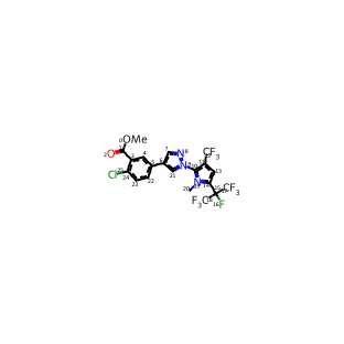 COC(=O)c1cc(-c2cnn(-c3c(C(F)(F)F)cc(C(F)(C(F)(F)F)C(F)(F)F)n3C)c2)ccc1Cl